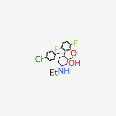 CCN[C@@H]1CC[C@@]2(Cc3ccc(Cl)cc3)c3c(F)ccc(F)c3OC[C@@]2(O)C1